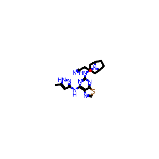 Cc1cc(Nc2nc(NC3CC4CCC(C3)N4CCC#N)nc3scnc23)n[nH]1